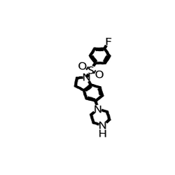 O=S(=O)(c1ccc(F)cc1)N1CCc2cc(N3CCNCC3)ccc21